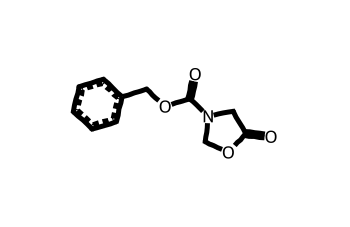 O=C1CN(C(=O)OCc2ccccc2)CO1